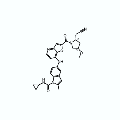 CO[C@@H]1C[C@@H](CC#N)N(C(=O)c2cc3nccc(Nc4ccc5c(c4)cc(C)n5C(=O)NC4CC4)c3s2)C1